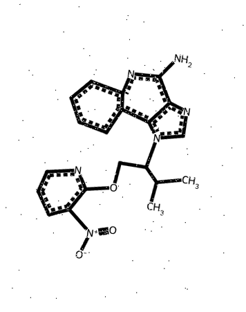 CC(C)C(COc1ncccc1[N+](=O)[O-])n1cnc2c(N)nc3ccccc3c21